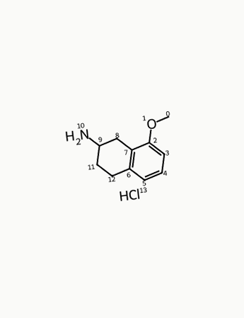 COc1cccc2c1CC(N)CC2.Cl